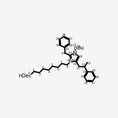 CCCCCCCCCCCCCCCCCC[n+]1c(CC(C)c2ccccc2)cn(CCCC)c1Cc1ccccc1